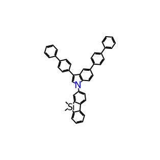 C[Si]1(C)c2ccccc2-c2ccc(-n3cc(-c4ccc(-c5ccccc5)cc4)c4cc(-c5ccc(-c6ccccc6)cc5)ccc43)cc21